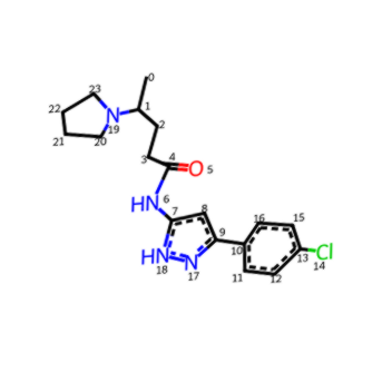 CC(CCC(=O)Nc1cc(-c2ccc(Cl)cc2)n[nH]1)N1CCCC1